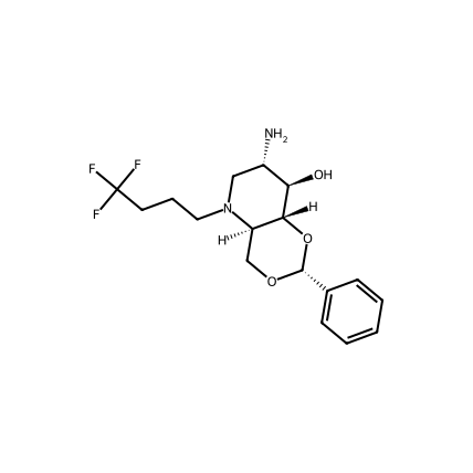 N[C@H]1CN(CCCC(F)(F)F)[C@@H]2CO[C@@H](c3ccccc3)O[C@H]2[C@@H]1O